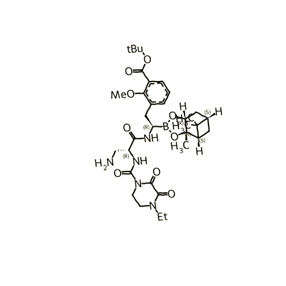 CCN1CCN(C(=O)N[C@H](CN)C(=O)N[C@@H](Cc2cccc(C(=O)OC(C)(C)C)c2OC)B2O[C@@H]3C[C@@H]4C[C@@H](C4(C)C)[C@]3(C)O2)C(=O)C1=O